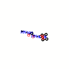 O=C(CNCCN1CCC(OC(=O)N(c2ccccc2-c2ccccc2)c2ccccc2-c2ccccc2)CC1)c1cccc(C(=O)NCCNCC2CC2)c1